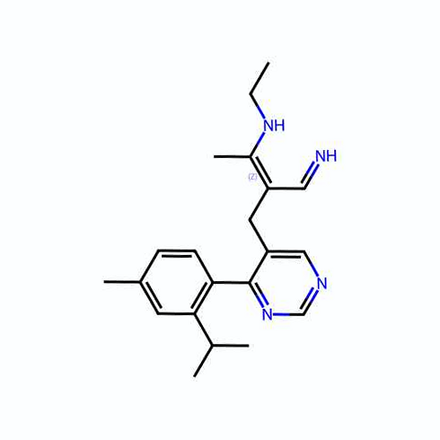 CCN/C(C)=C(\C=N)Cc1cncnc1-c1ccc(C)cc1C(C)C